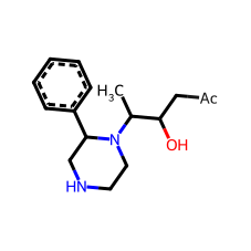 CC(=O)CC(O)C(C)N1CCNCC1c1ccccc1